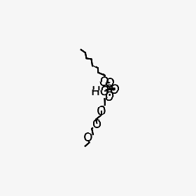 CCCCCCCCOOP(=O)(O)OCCOCCOCCOCC